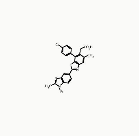 Cc1cc2nc(-c3ccc4c(c3)nc(C)n4C(C)C)sc2c(-c2ccc(Cl)cc2)c1CC(=O)O